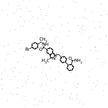 Cc1nn(Cc2ccc(-c3ccccc3C(N)=O)cc2)c2ccc(C(=O)N[C@@H](C)c3ccc(Br)cc3)cc12